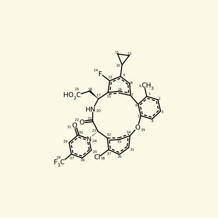 Cc1cccc2c1-c1cc(C3CC3)c(F)c(c1)[C@H](CC(=O)O)NC(=O)[C@@H](n1ccc(C(F)(F)F)cc1=O)c1cc(ccc1Cl)O2